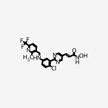 Cc1nc(C(F)(F)F)ccc1CNc1ccc(Cl)c(-c2ncc(/C=C/C(=O)NO)cn2)c1